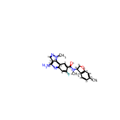 CN(C(=O)c1cc2c(cc1F)nc(N)c1cnn(C)c12)[C@H]1COc2cc(C#N)ccc21